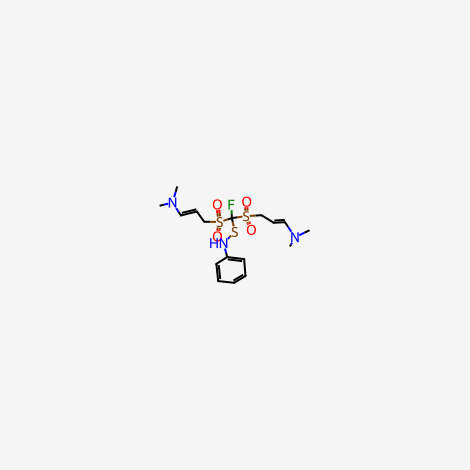 CN(C)C=CCS(=O)(=O)C(F)(SNc1ccccc1)S(=O)(=O)CC=CN(C)C